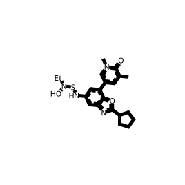 CCN(O)SNc1cc(-c2cc(C)c(=O)n(C)c2)c2oc(C3CCCC3)nc2c1